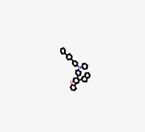 C1=CC2Oc3cc(-c4ccc(N(c5ccccc5)c5ccc(-c6ccc(-c7ccccc7)cc6)cc5)cc4)c(-c4ccc5ccccc5c4)cc3C2C=C1